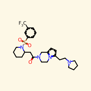 O=C(CC1CCCCN1S(=O)(=O)c1cccc(C(F)(F)F)c1)N1CCn2c(CCN3CCCC3)ccc2C1